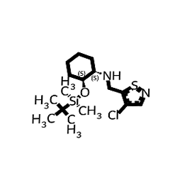 CC(C)(C)[Si](C)(C)O[C@H]1CCCC[C@@H]1NCc1sncc1Cl